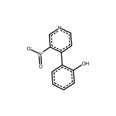 O=[N+]([O-])c1cnccc1-c1ccccc1O